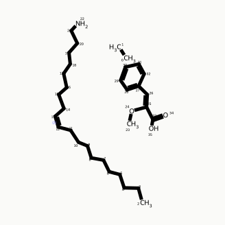 CC.CCCCCCCCCC/C=C\CCCCCCCCN.COC(=Cc1ccccc1)C(=O)O